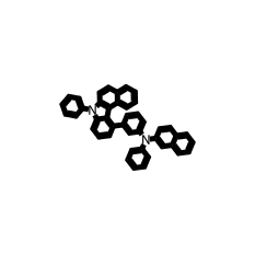 c1ccc(N(c2cccc(-c3cccc4c3c3c5ccccc5ccc3n4-c3ccccc3)c2)c2ccc3ccccc3c2)cc1